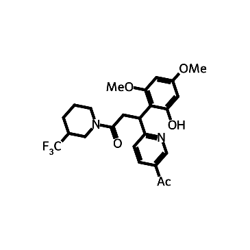 COc1cc(O)c(C(CC(=O)N2CCCC(C(F)(F)F)C2)c2ccc(C(C)=O)cn2)c(OC)c1